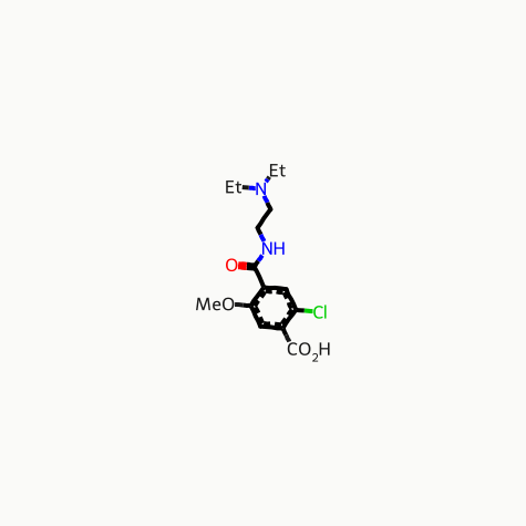 CCN(CC)CCNC(=O)c1cc(Cl)c(C(=O)O)cc1OC